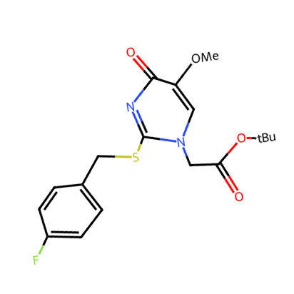 COc1cn(CC(=O)OC(C)(C)C)c(SCc2ccc(F)cc2)nc1=O